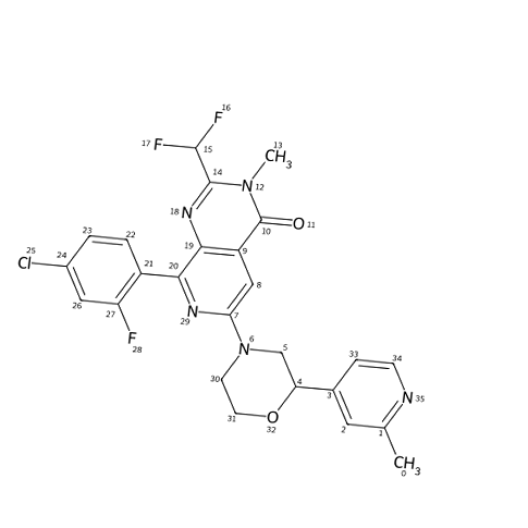 Cc1cc(C2CN(c3cc4c(=O)n(C)c(C(F)F)nc4c(-c4ccc(Cl)cc4F)n3)CCO2)ccn1